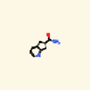 NC(=O)C1Cc2cccnc2C1